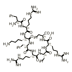 CC(C)C[C@H](NC(=O)[C@H](CCCNC(=N)N)NC(=O)[C@H](CC(C)C)NC(=O)[C@H](CCCNC(=N)N)NC(=O)[C@H](CC(C)C)NC(=O)[C@H](CCCCN)NC(=O)[C@H](CCCNC(=N)N)NC(=O)[C@@H](N)CC(C)C)C(=O)O